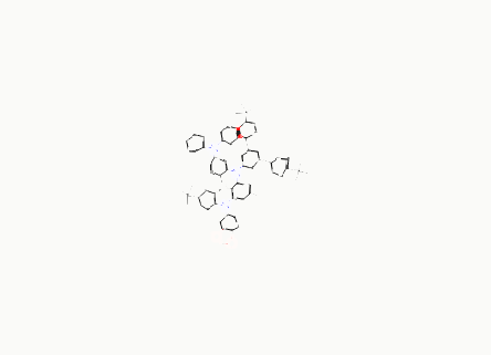 Cc1cc2c3c(c1)N(c1cc(-c4ccc(C(C)(C)C)cc4)cc(-c4ccc(C(C)(C)C)cc4)c1)c1cc(N(c4ccccc4)c4ccccc4)ccc1B3c1cc(C(C)(C)C)ccc1N2c1ccc2c(c1)OCO2